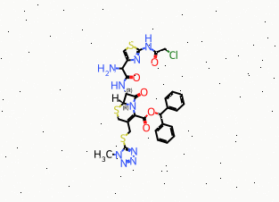 Cn1nnnc1SCC1=C(C(=O)OC(c2ccccc2)c2ccccc2)N2C(=O)[C@@H](NC(=O)C(N)c3csc(NC(=O)CCl)n3)[C@H]2SC1